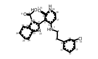 O=C(O)n1c(-c2c(NCCc3cccc(Cl)c3)cc[nH]c2=O)nc2ccccc21